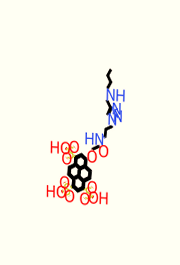 CCCCNCc1cn(CCCNC(=O)COc2cc(S(=O)(=O)O)c3ccc4c(S(=O)(=O)O)cc(S(=O)(=O)O)c5ccc2c3c54)nn1